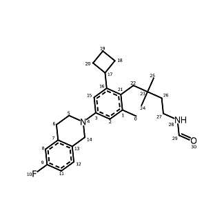 Cc1cc(N2CCc3cc(F)ccc3C2)cc(C2CCC2)c1CC(C)(C)CCNC=O